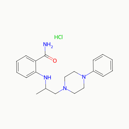 CC(CN1CCN(c2ccccc2)CC1)Nc1ccccc1C(N)=O.Cl